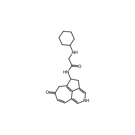 O=C1C=CC2=CNC=C3CC(NC(=O)CNC4CCCCC4)C(=C23)C1